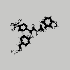 CCS(=O)(=O)c1ccc(C(Oc2ccc(/C=N/C)cc2)C(=O)Nc2nc3c4c(ccc3s2)OCO4)cc1